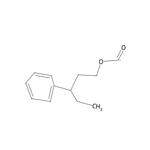 CCC(CCO[C]=O)c1ccccc1